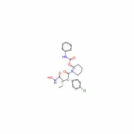 CC[C@H](C(=O)NO)[C@H](C(=O)N1CCCC[C@@H]1OC(=O)Nc1ccccc1)c1ccc(Cl)cc1